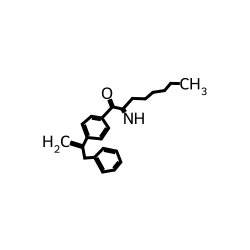 C=C(Cc1ccccc1)c1ccc(C(=O)C(=N)CCCCCC)cc1